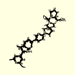 Cc1cc(-c2[nH]c3cc(-c4ccc(N5CCC6(CCN(C(=O)N7CCCC7CO)C6)C5)nc4)ccc3c2C)cc(C)n1